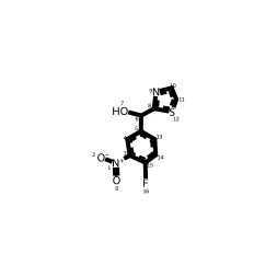 O=[N+]([O-])c1cc(C(O)c2nccs2)ccc1F